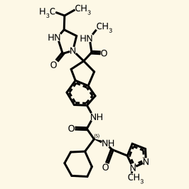 CNC(=O)C1(N2CC(C(C)C)NC2=O)Cc2ccc(NC(=O)[C@@H](NC(=O)c3ccnn3C)C3CCCCC3)cc2C1